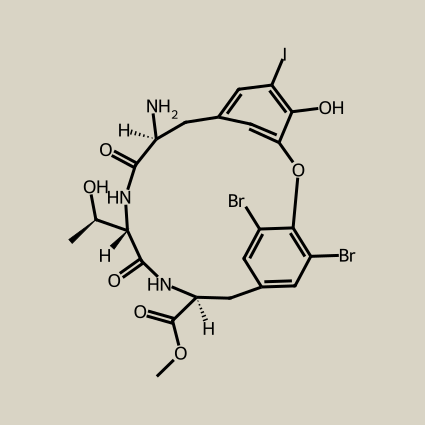 COC(=O)[C@@H]1Cc2cc(Br)c(c(Br)c2)Oc2cc(cc(I)c2O)C[C@H](N)C(=O)N[C@@H]([C@@H](C)O)C(=O)N1